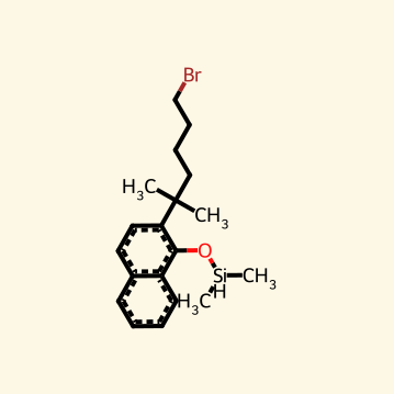 C[SiH](C)Oc1c(C(C)(C)CCCCBr)ccc2ccccc12